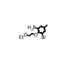 Bc1cc(C)cc(Br)c1OCCOCC